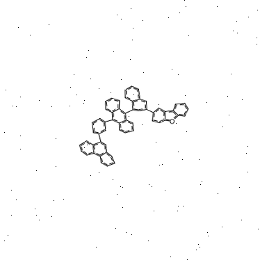 c1cc(-c2c3ccccc3c(-c3cc(-c4ccc5oc6ccccc6c5c4)cc4ccccc34)c3ccccc23)cc(-c2cc3ccccc3c3ccccc23)c1